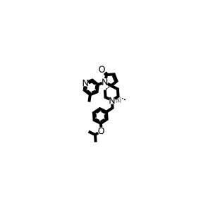 Cc1cncc(N2C(=O)C=C[C@]23CCN(Cc2cccc(OC(C)C)c2)[C@@H](C)C3)c1